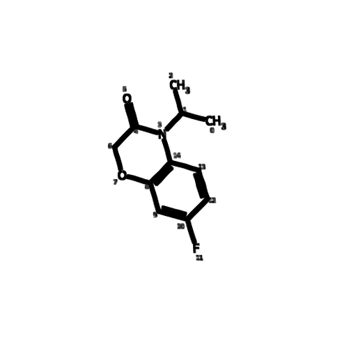 CC(C)N1C(=O)COc2cc(F)ccc21